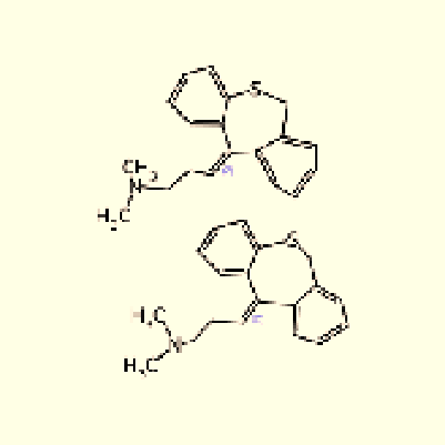 CN(C)CC/C=C1/c2ccccc2CSc2ccccc21.CN(C)CC/C=C1/c2ccccc2CSc2ccccc21